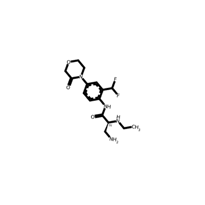 CCN[C@@H](CN)C(=O)Nc1ccc(N2CCOCC2=O)cc1C(F)F